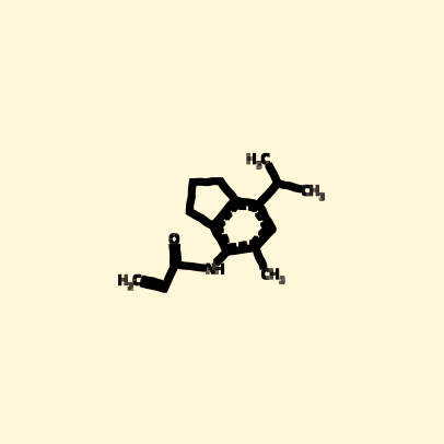 C=CC(=O)Nc1c(C)cc(C(C)C)c2c1CCC2